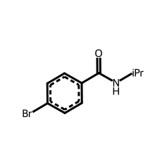 CC(C)NC(=O)c1ccc(Br)cc1